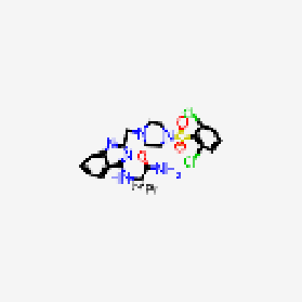 CC(C)[C@H](Nc1nc(CN2CCN(S(=O)(=O)c3c(Cl)cccc3Cl)CC2)nc2ccccc12)C(N)=O